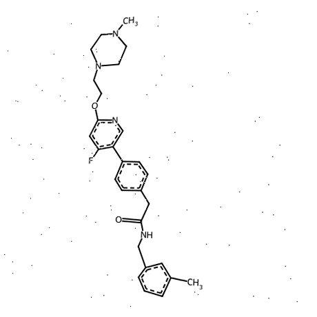 Cc1cccc(CNC(=O)Cc2ccc(-c3cnc(OCCN4CCN(C)CC4)cc3F)cc2)c1